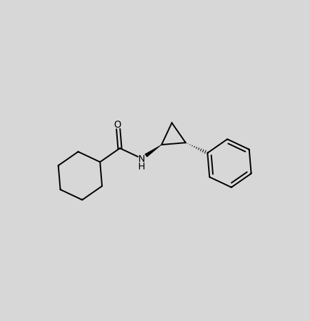 O=C(N[C@H]1C[C@@H]1c1ccccc1)C1CCCCC1